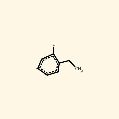 CCc1cc[c]cc1F